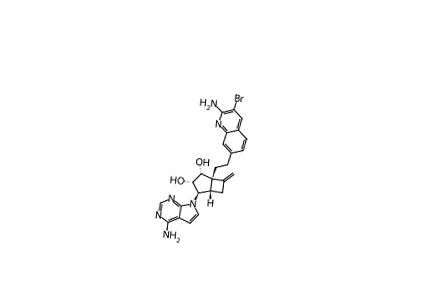 C=C1C[C@@H]2[C@@H](n3ccc4c(N)ncnc43)[C@H](O)[C@H](O)[C@]12CCc1ccc2cc(Br)c(N)nc2c1